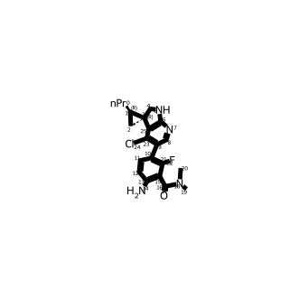 CCC[C@@H]1C[C@@]12CNc1ncc(-c3ccc(N)c(C(=O)N(C)C)c3F)c(Cl)c12